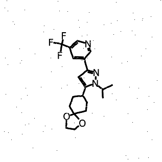 CC(C)n1nc(-c2cncc(C(F)(F)F)c2)cc1C1CCC2(CC1)OCCO2